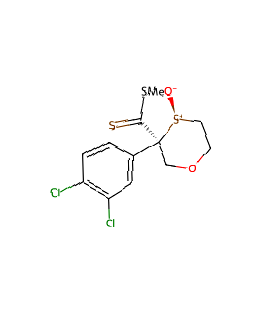 CSC(=S)[C@@]1(c2ccc(Cl)c(Cl)c2)COCC[S@+]1[O-]